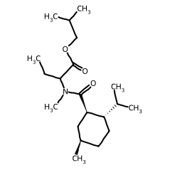 CCC(C(=O)OCC(C)C)N(C)C(=O)[C@@H]1C[C@H](C)CC[C@H]1C(C)C